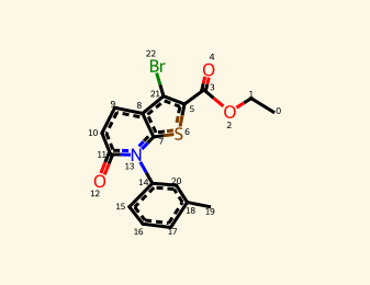 CCOC(=O)c1sc2c(ccc(=O)n2-c2cccc(C)c2)c1Br